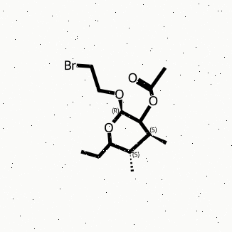 CCC1O[C@@H](OCCBr)C(OC(C)=O)[C@@H](C)[C@@H]1C